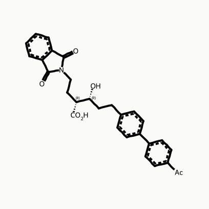 CC(=O)c1ccc(-c2ccc(CC[C@@H](O)[C@@H](CCN3C(=O)c4ccccc4C3=O)C(=O)O)cc2)cc1